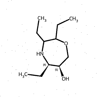 CCC1N[C@H](CC)[C@H](O)COC1CC